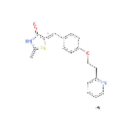 C=c1[nH]c(=O)/c(=C/c2ccc(OCCc3ccc(C(C)C)cn3)cc2)s1